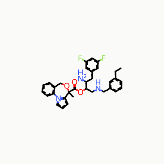 CCc1cccc(CNCC(OC(=O)C2(C)OCc3ccccc3-n3cccc32)C(N)Cc2cc(F)cc(F)c2)c1